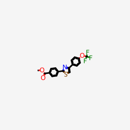 COC(=O)c1ccc(-c2nc(-c3ccc(OC(F)(F)F)cc3)cs2)cc1